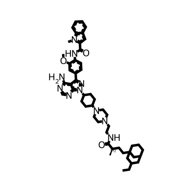 CCC1CC2CCCC(CC[C@@H](C)C(=O)NCCN3CCN(C4CCC(n5nc(-c6ccc(NC(=O)c7cc8ccccc8n7C)c(OC)c6)c6c(N)ncnc65)CC4)CC3)(C1)C2